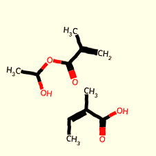 C=C(C)C(=O)OC(C)O.CC=C(C)C(=O)O